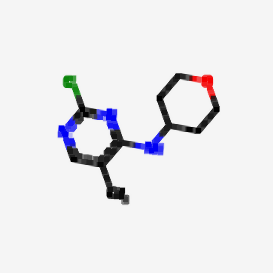 Cc1cnc(Cl)nc1NC1CCOCC1